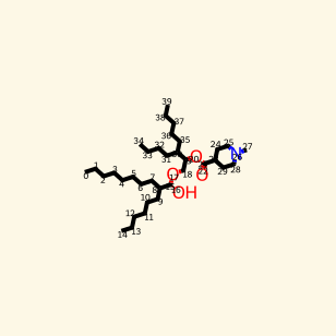 CCCCCCCCC(CCCCCC)[C@@H](O)OCC(OC(=O)C1CCN(C)CC1)C(CCCC)CCCCC